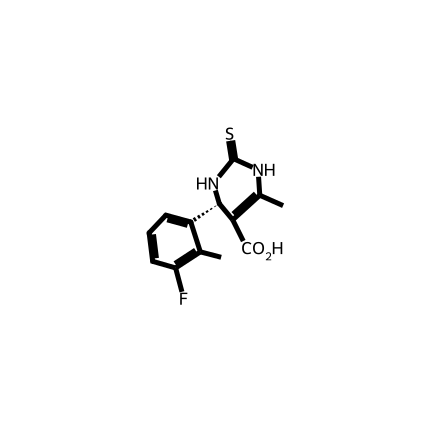 CC1=C(C(=O)O)[C@H](c2cccc(F)c2C)NC(=S)N1